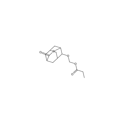 CCC(=O)OCOC1C2CC3CC(C2)C(=O)OC1C3